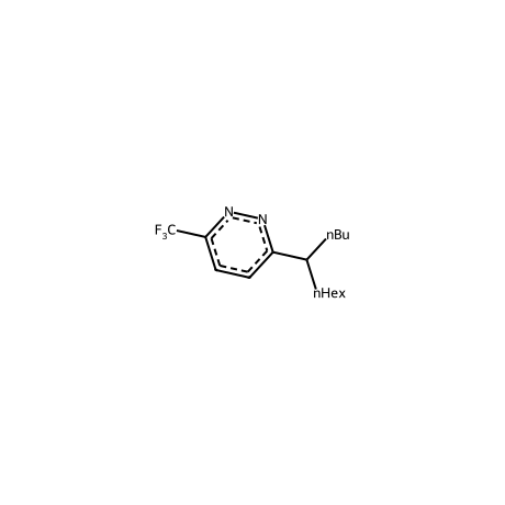 CCCCCCC(CCCC)c1ccc(C(F)(F)F)nn1